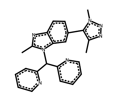 Cc1nnn(C)c1-c1ccc2nc(C)n(C(c3ccccn3)c3ccccn3)c2c1